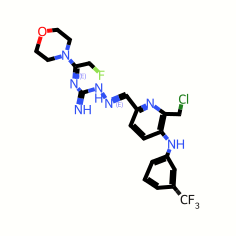 N=C(/N=C(\CF)N1CCOCC1)N/N=C/c1ccc(Nc2cccc(C(F)(F)F)c2)c(CCl)n1